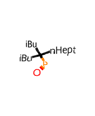 CCCCCCCC(P=O)(C(C)CC)C(C)CC